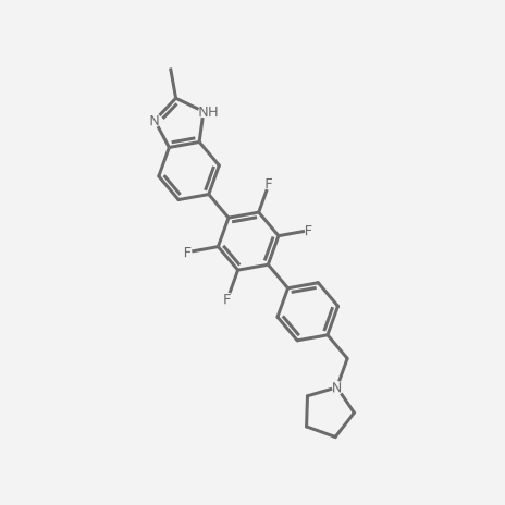 Cc1nc2ccc(-c3c(F)c(F)c(-c4ccc(CN5CCCC5)cc4)c(F)c3F)cc2[nH]1